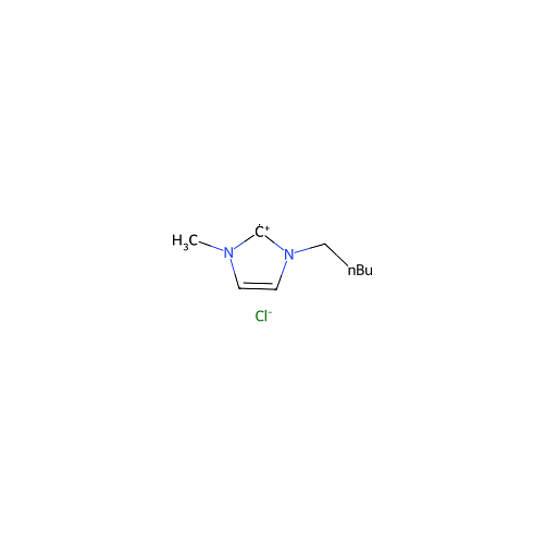 CCCCCN1[C+]N(C)C=C1.[Cl-]